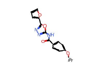 CC(C)Oc1ccc(C(=O)Nc2nnc(-c3ccco3)o2)cc1